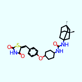 C[C@]12CC3CC(NC(=O)NC4CCC(Oc5ccc(/C=C6/SC(=O)NC6=O)cc5)CC4)(C1)C[C@@](C)(C3)C2